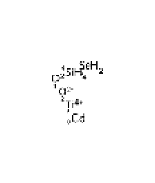 [Cd].[O-2].[O-2].[SeH2].[SiH4].[Ti+4]